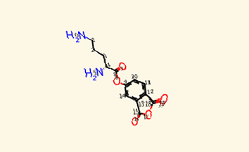 NCCC[C@@H](N)C(=O)Oc1ccc2c(c1)C(=O)OC2=O